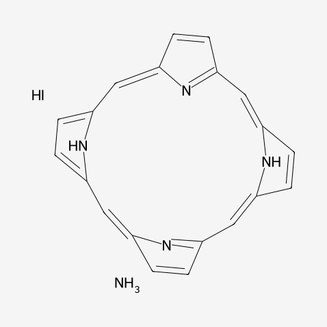 C1=Cc2cc3ccc(cc4nc(cc5ccc(cc1n2)[nH]5)C=C4)[nH]3.I.N